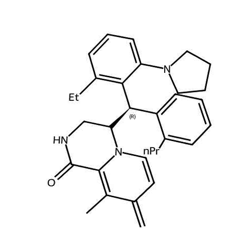 C=C1C=CN2C(=C1C)C(=O)NCC2[C@H](c1ccccc1CCC)c1c(CC)cccc1N1CCCC1